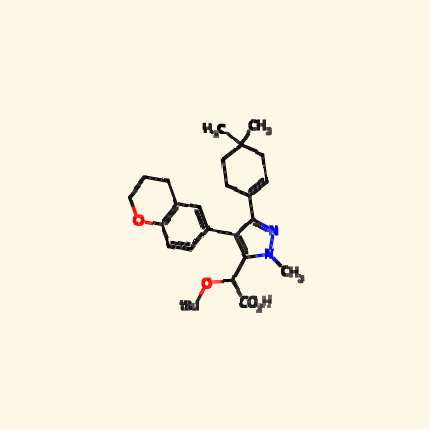 Cn1nc(C2=CCC(C)(C)CC2)c(-c2ccc3c(c2)CCCO3)c1C(OC(C)(C)C)C(=O)O